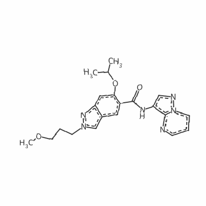 COCCCn1cc2cc(C(=O)Nc3cnn4cccnc34)c(OC(C)C)cc2n1